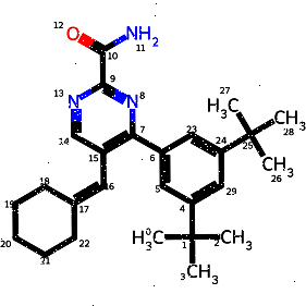 CC(C)(C)c1cc(-c2nc(C(N)=O)ncc2C=C2CCCCC2)cc(C(C)(C)C)c1